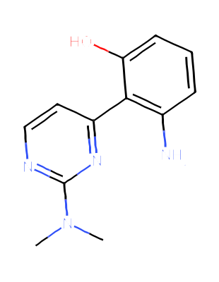 CN(C)c1nccc(-c2c(N)cccc2O)n1